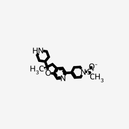 C[S+]([O-])N1CC=C(c2cc3c(cn2)O[C@](C)(C2CCNCC2)C3)CC1